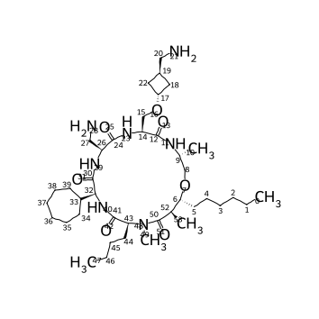 CCCCCC[C@H]1OC[C@@H](C)NC(=O)[C@H](CO[C@H]2C[C@H](CN)C2)NC(=O)[C@H](CN)NC(=O)[C@H](C2CCCCCC2)NC(=O)[C@H](CCCC)N(C)C(=O)[C@@H]1C